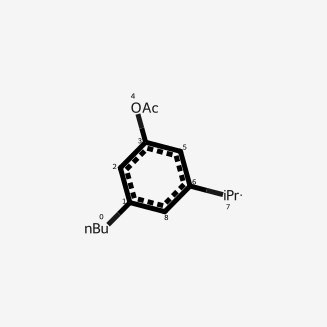 CCCCc1cc(OC(C)=O)cc([C](C)C)c1